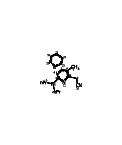 CCCN(CCC)c1ncc(C)c(CC#N)n1.c1ccncc1